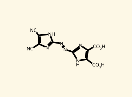 N#Cc1nc(N=Nc2nc(C(=O)O)c(C(=O)O)[nH]2)[nH]c1C#N